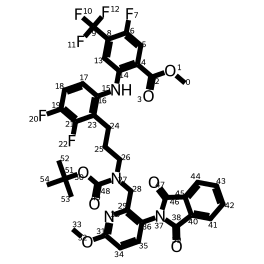 COC(=O)c1cc(F)c(C(F)(F)F)cc1Nc1ccc(F)c(F)c1CCCN(Cc1nc(OC)ccc1N1C(=O)c2ccccc2C1=O)C(=O)OC(C)(C)C